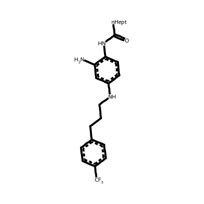 CCCCCCCC(=O)Nc1ccc(NCCCc2ccc(C(F)(F)F)cc2)cc1N